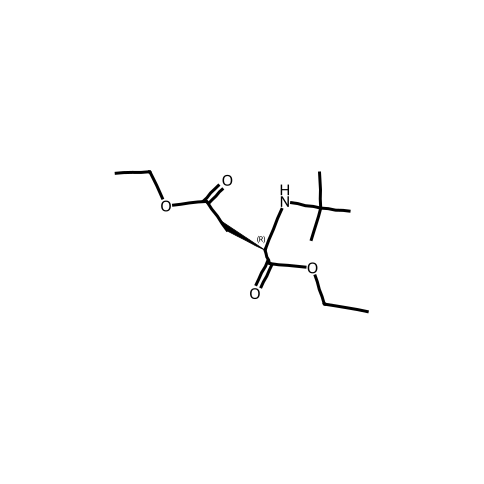 CCOC(=O)C[C@@H](NC(C)(C)C)C(=O)OCC